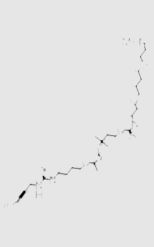 CNCCOCCCCOCCNC(=O)OCCC(C)(C)SSC(C)OCCCCNC(=O)NCC#CC(C)C